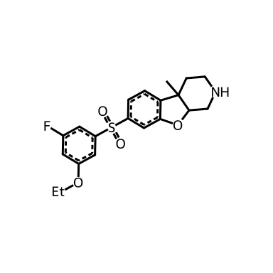 CCOc1cc(F)cc(S(=O)(=O)c2ccc3c(c2)OC2CNCCC32C)c1